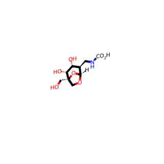 O=C(O)NC[C@H]1[C@H]2OC[C@](CO)(O2)[C@H](O)[C@@H]1O